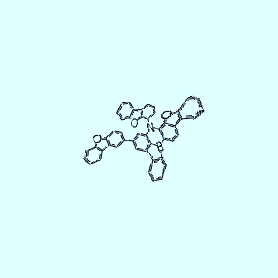 c1ccc2c(c1)B1c3ccc4c(oc5ccccc54)c3N(c3cccc4c3oc3ccccc34)c3cc(-c4ccc5oc6ccccc6c5c4)cc-2c31